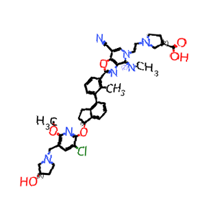 C/N=c1/c2nc(-c3cccc(-c4cccc5c4CC[C@@H]5Oc4nc(OC)c(CN5CC[C@@H](O)C5)cc4Cl)c3C)oc2c(C#N)cn1CCN1CC[C@@H](C(=O)O)C1